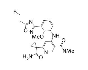 CNC(=O)c1cnc(C2(C(N)=O)CC2)cc1Nc1cccc(-c2noc(CCF)n2)c1OC